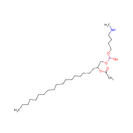 CCCCCCCCCCCCCCCCCCC(COP(O)OCCCCNC)OC(C)=O